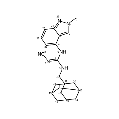 Cn1cc2c(NC(=NC#N)NCC34CC5CC(CC(C5)C3)C4)cccc2n1